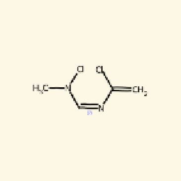 C=C(Cl)/N=C\N(C)Cl